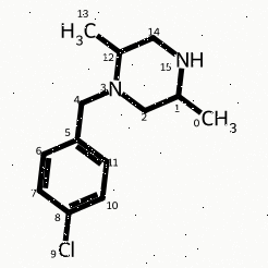 CC1CN(Cc2ccc(Cl)cc2)C(C)CN1